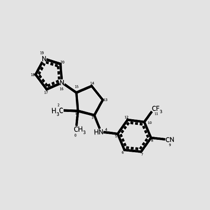 CC1(C)C(Nc2ccc(C#N)c(C(F)(F)F)c2)CCC1n1ccnc1